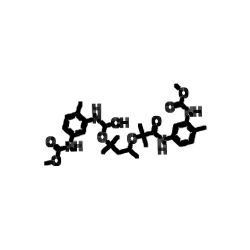 COC(=O)Nc1ccc(C)c(NC(O)OC(C)(C)CC(C)OC(C)(C)C(=O)Nc2ccc(C)c(NC(=O)OC)c2)c1